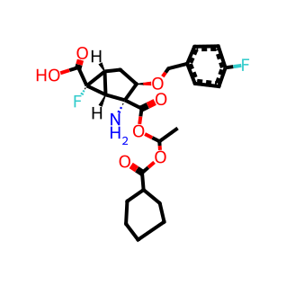 CC(OC(=O)C1CCCCC1)OC(=O)[C@@]1(N)[C@H]2[C@@H](C[C@H]1OCc1ccc(F)cc1)[C@]2(F)C(=O)O